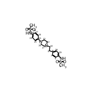 CS(=O)(=O)Nc1ccc(CCN2CCN(c3ccc(NS(C)(=O)=O)cc3)CC2)cc1